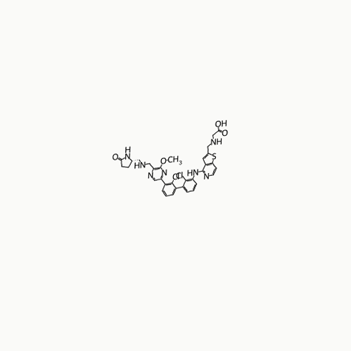 COc1nc(-c2cccc(-c3cccc(Nc4nccc5sc(CNCC(=O)O)cc45)c3Cl)c2Cl)cnc1CNC[C@@H]1CCC(=O)N1